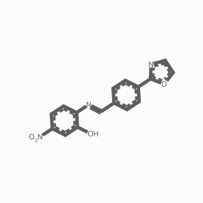 O=[N+]([O-])c1ccc(N=Cc2ccc(-c3ncco3)cc2)c(O)c1